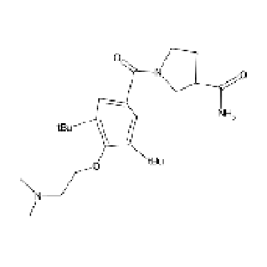 CN(C)CCOc1c(C(C)(C)C)cc(C(=O)N2CCC(C(N)=O)C2)cc1C(C)(C)C